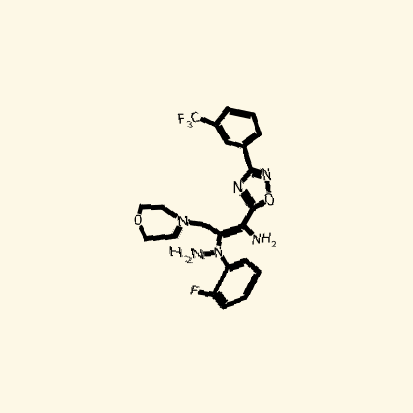 N/C(=C(/CN1CCOCC1)N(N)c1ccccc1F)c1nc(-c2cccc(C(F)(F)F)c2)no1